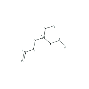 C=NCCN(CC)CCC